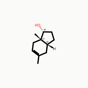 CC1=CC[C@@]2(C)[C@H](CC[C@H]2O)C1